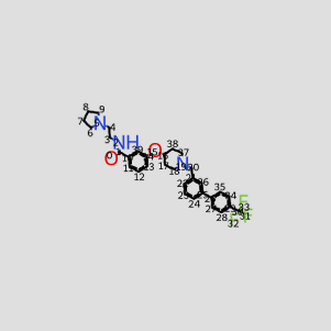 O=C(NCCN1CCCC1)c1cccc(OC2CCN(Cc3cccc(-c4ccc(C(F)(F)F)cc4)c3)CC2)c1